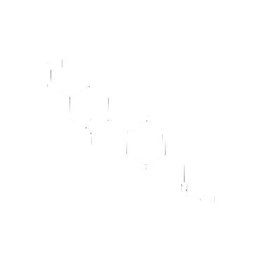 C=NCc1ccc(C2CCC(OC)CN2)cc1